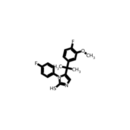 COc1cc(C(C)(C)c2cnc(S)n2-c2ccc(F)cc2)ccc1F